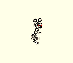 CCCCc1nc(NC(=O)C(C)(C)CBr)[nH]c(=O)c1Cc1ccc(-c2ccccc2-c2nnnn2C(c2ccccc2)(c2ccccc2)c2ccccc2)cc1